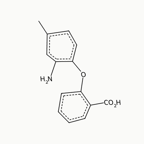 Cc1ccc(Oc2ccccc2C(=O)O)c(N)c1